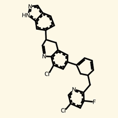 Fc1cc(Cl)cnc1CC1C=CC=C(c2cc(Cl)c3c(c2)CC(c2ccc4cn[nH]c4c2)C=N3)C1